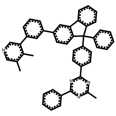 Cc1nc(-c2ccccc2)nc(-c2ccc(C3(c4ccccc4)c4ccccc4-c4cc(-c5cccc(-c6cncc(C)c6C)c5)ccc43)cc2)n1